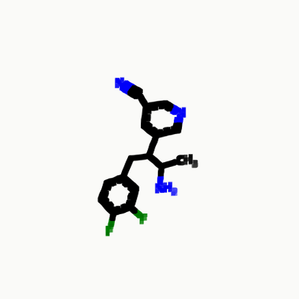 CC(N)C(Cc1ccc(F)c(F)c1)c1cncc(C#N)c1